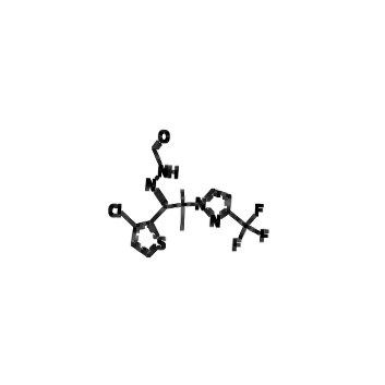 CC(C)(C(=NNC=O)c1sccc1Cl)n1ccc(C(F)(F)F)n1